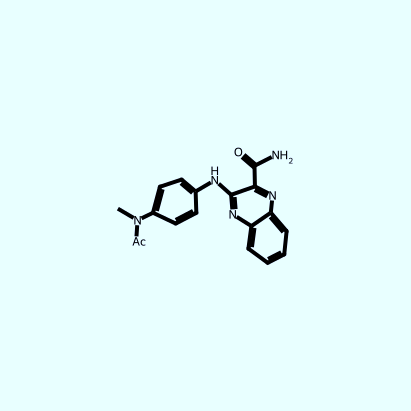 CC(=O)N(C)c1ccc(Nc2nc3ccccc3nc2C(N)=O)cc1